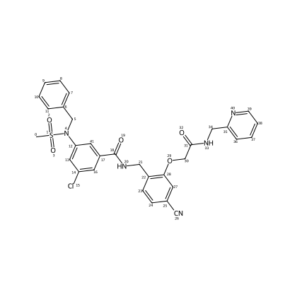 CS(=O)(=O)N(Cc1ccccc1)c1cc(Cl)cc(C(=O)NCc2ccc(C#N)cc2OCC(=O)NCc2ccccn2)c1